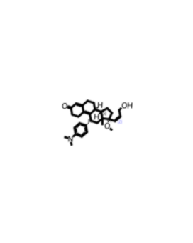 CO[C@@]1(/C=C\CO)CC[C@H]2[C@@H]3CCC4=CC(=O)CCC4=C3[C@@H](c3ccc(N(C)C)cc3)CC21C